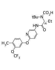 CC[C@H](C(=O)Nc1ccc(Oc2ccc(C)c(OC(F)(F)F)c2)nc1)N(C(=O)O)C(C)(C)C